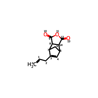 C=CCC1=CC2CC1C1C(=O)OC(=O)C21